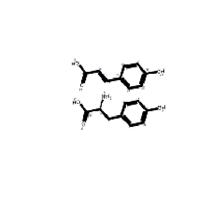 N[C@@H](Cc1ccc(O)cc1)C(=O)O.O=C(O)/C=C/c1ccc(O)cc1